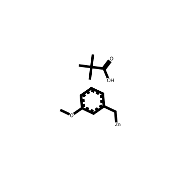 CC(C)(C)C(=O)O.COc1cccc([CH2][Zn])c1